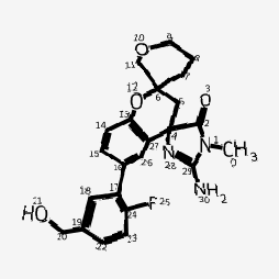 CN1C(=O)C2(CC3(CCCOC3)Oc3ccc(-c4cc(CO)ccc4F)cc32)N=C1N